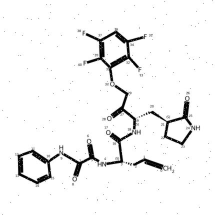 C=CC[C@H](NC(=O)C(=O)Nc1ccccc1)C(=O)N[C@@H](C[C@@H]1CCNC1=O)C(=O)COc1c(F)c(F)cc(F)c1F